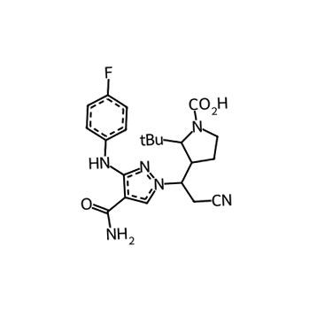 CC(C)(C)C1C(C(CC#N)n2cc(C(N)=O)c(Nc3ccc(F)cc3)n2)CCN1C(=O)O